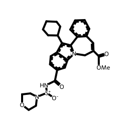 COC(=O)C1=Cc2ccccc2-c2c(C3CCCCC3)c3ccc(C(=O)N[S+]([O-])N4CCOCC4)cc3n2C1